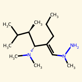 CCC/C(=C\N(C)N)[C@@H]([C@H](C)C(C)C)N(C)C